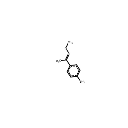 Bc1ccc(/C(C)=N/OC)cc1